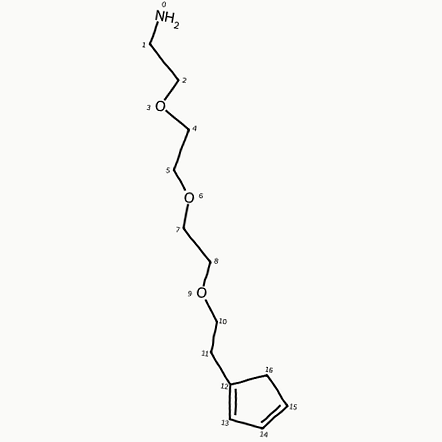 NCCOCCOCCOCCC1=CC=CC1